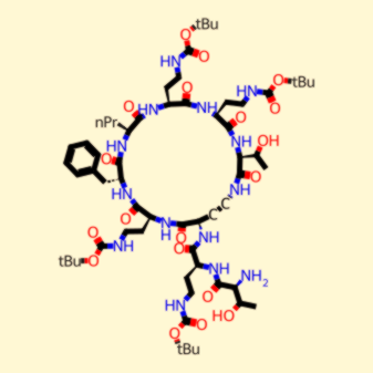 CCC[C@@H]1NC(=O)[C@@H](Cc2ccccc2)NC(=O)[C@H](CCNC(=O)OC(C)(C)C)NC(=O)[C@@H](NC(=O)[C@H](CCNC(=O)OC(C)(C)C)NC(=O)[C@@H](N)C(C)O)CCNC(=O)[C@H](C(C)O)NC(=O)[C@H](CCNC(=O)OC(C)(C)C)NC(=O)[C@H](CCNC(=O)OC(C)(C)C)NC1=O